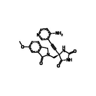 COc1ccc2c(c1)C(=O)N(C[C@@]1(C#Cc3cnccc3N)NC(=O)NC1=O)C2